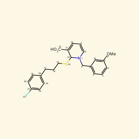 COc1cccc(CN2C=CC=C(C(=O)O)C2SCCCc2ccc(F)cc2)c1